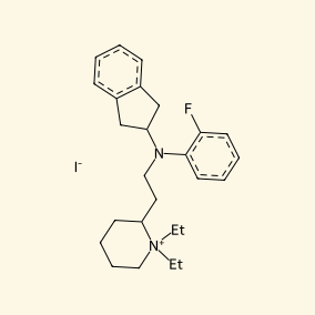 CC[N+]1(CC)CCCCC1CCN(c1ccccc1F)C1Cc2ccccc2C1.[I-]